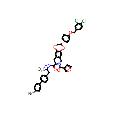 N#Cc1ccc(-c2ccc(C[C@H](NC(=O)C3Cc4cc5c(cc4CN3C(=O)c3ccoc3)O[C@@H](c3ccc(OCc4ccc(Cl)c(Cl)c4)cc3)CO5)C(=O)O)cc2)cc1